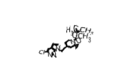 CC(C)(C)OC(=O)N1CCC(Cn2ccc3cc(Cl)nnc32)CC12CC2